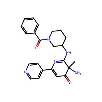 CC1(N)C(=O)C=C(c2ccncc2)N=C1NC1CCCN(C(=O)c2ccccc2)C1